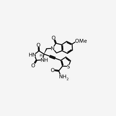 COc1ccc2c(c1)C(=O)N(C[C@@]1(C#Cc3ccsc3C(N)=O)NC(=O)NC1=O)C2